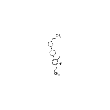 CCCc1ccc(C2CCC(C3CCC(CCC)C3)CC2)c(F)c1F